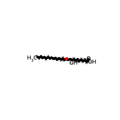 CCCCCCCCCCCCCCCCCCCCC(O)CCCCCCCCC(=O)O